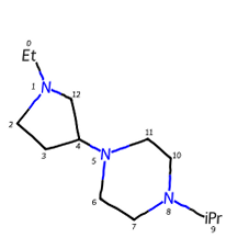 CCN1CCC(N2CCN(C(C)C)CC2)C1